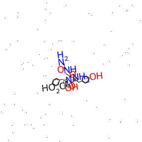 NCC(=O)NCC(=O)N(C(=O)[C@@H](N)Cc1ccc(O)cc1)[C@@H](Cc1ccccc1)[C@@H](O)C(=O)O